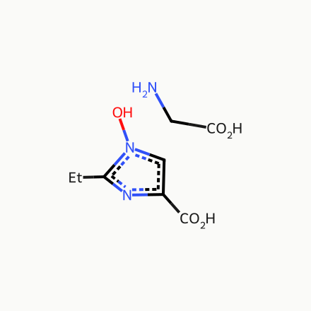 CCc1nc(C(=O)O)cn1O.NCC(=O)O